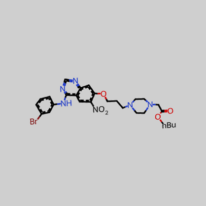 CCCCOC(=O)CN1CCN(CCCOc2cc3ncnc(Nc4cccc(Br)c4)c3cc2[N+](=O)[O-])CC1